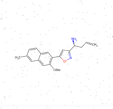 C=CC[C@H](N)c1cc(-c2cc3ccc(C)cc3cc2OC)on1